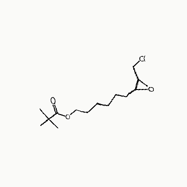 CC(C)(C)C(=O)OCCCCCCC1OC1CCl